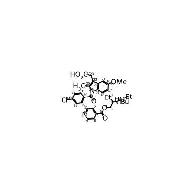 CCCCC(CC)COC(=O)c1ccncc1.CCO.COc1ccc2c(c1)c(CC(=O)O)c(C)n2C(=O)c1ccc(Cl)cc1